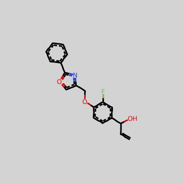 C=CC(O)c1ccc(OCc2coc(-c3ccccc3)n2)c(F)c1